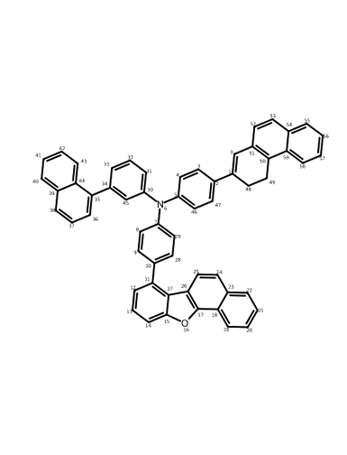 C1=C(c2ccc(N(c3ccc(-c4cccc5oc6c7ccccc7ccc6c45)cc3)c3cccc(-c4cccc5ccccc45)c3)cc2)CCc2c1ccc1ccccc21